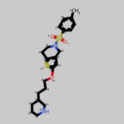 Cc1ccc(S(=O)(=O)N2CCc3sc(OCCCC4CCCNC4)cc3C2)cc1